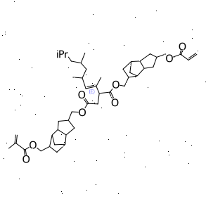 C=CC(=O)OCC1CC2C3CC(COC(=O)C(CC(=O)OCC4CC5C6CC(COC(=O)C(=C)C)C(C6)C5C4)/C(C)=C/C(C)CC(C)CC(C)C)C(C3)C2C1